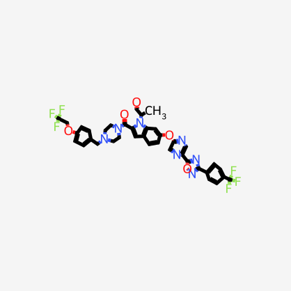 CC(C=O)n1c(C(=O)N2CCN(Cc3ccc(OCC(F)(F)F)cc3)CC2)cc2ccc(Oc3cnc(-c4nc(-c5ccc(C(F)(F)F)cc5)no4)cn3)cc21